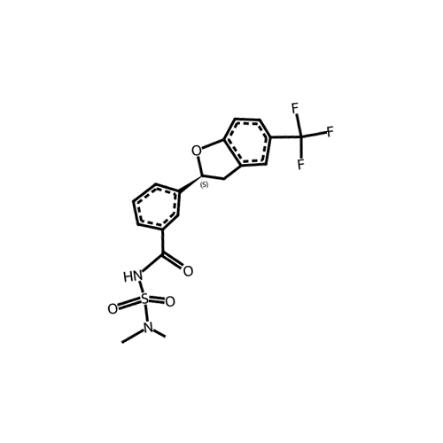 CN(C)S(=O)(=O)NC(=O)c1cccc([C@@H]2Cc3cc(C(F)(F)F)ccc3O2)c1